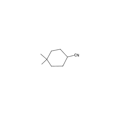 CC1(C)CCC(C#N)CC1